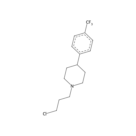 FC(F)(F)c1ccc(C2CCN(CCCCl)CC2)cc1